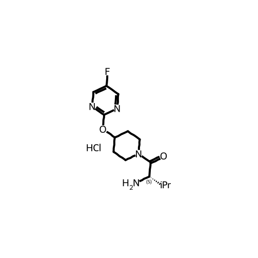 CC(C)[C@H](N)C(=O)N1CCC(Oc2ncc(F)cn2)CC1.Cl